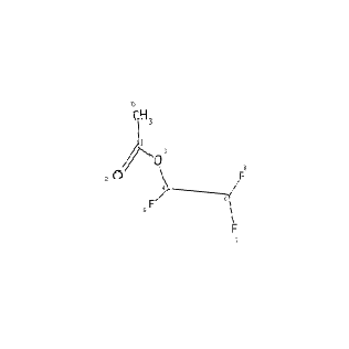 CC(=O)OC(F)C(F)F